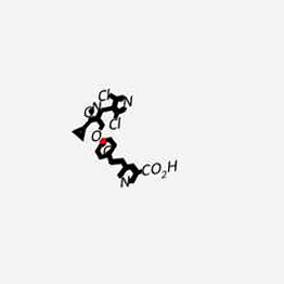 O=C(O)c1cncc(C=CC23CCC(OCc4c(-c5c(Cl)cncc5Cl)noc4C4CC4)(CC2)CC3)c1